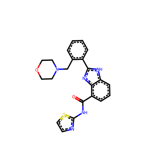 O=C(Nc1nccs1)c1cccc2[nH]c(-c3ccccc3CN3CCOCC3)nc12